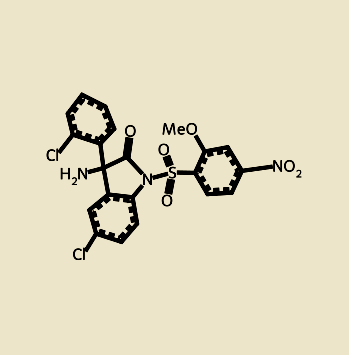 COc1cc([N+](=O)[O-])ccc1S(=O)(=O)N1C(=O)C(N)(c2ccccc2Cl)c2cc(Cl)ccc21